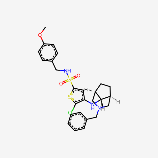 COc1ccc(CNS(=O)(=O)c2cc(N[C@@H]3[C@@H]4CC[C@H]3CN(Cc3ccccc3)C4)c(Cl)s2)cc1